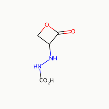 O=C(O)NNC1COC1=O